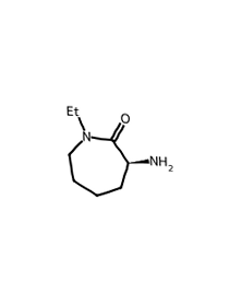 CCN1CCCC[C@H](N)C1=O